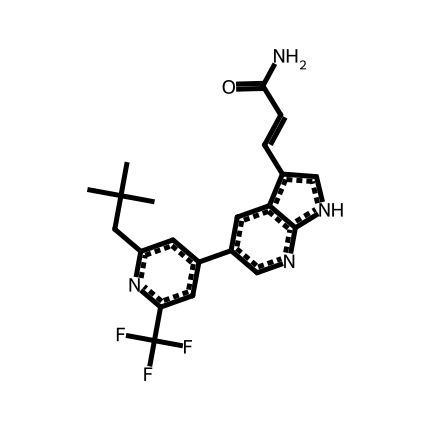 CC(C)(C)Cc1cc(-c2cnc3[nH]cc(/C=C/C(N)=O)c3c2)cc(C(F)(F)F)n1